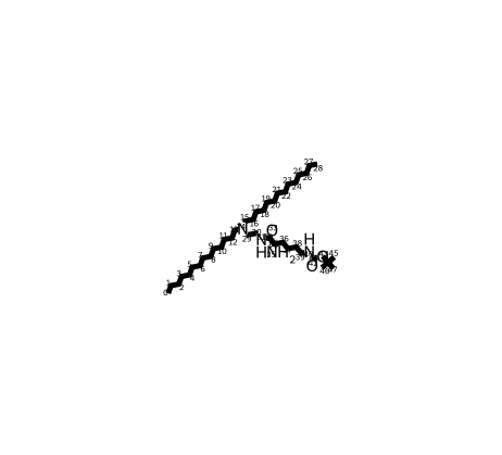 CCCCCCCCCCCCCCN(CCCCCCCCCCCCCC)CCNC(=O)[C@@H](N)CCCCNC(=O)OC(C)(C)C